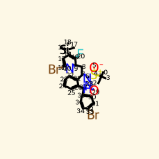 CC(C)(C)[S@+]([O-])NC(Cc1nc(Br)cc([Si](C)(C)C)c1F)c1ccccc1-c1noc2cc(Br)ccc12